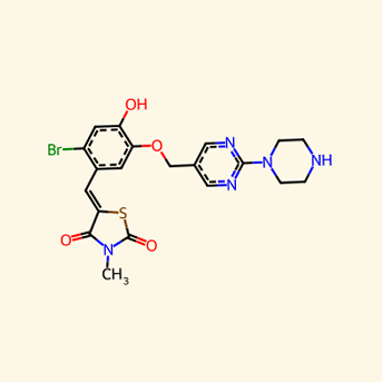 CN1C(=O)S/C(=C\c2cc(OCc3cnc(N4CCNCC4)nc3)c(O)cc2Br)C1=O